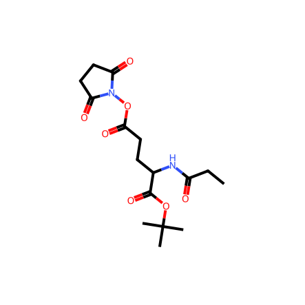 CCC(=O)NC(CCC(=O)ON1C(=O)CCC1=O)C(=O)OC(C)(C)C